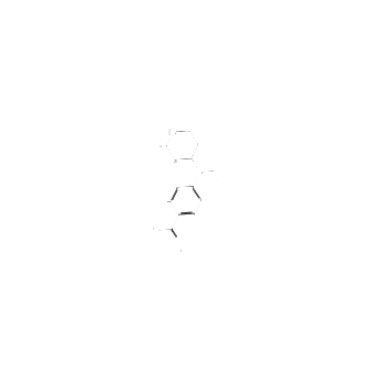 CN(c1ccc(C(N)=O)cc1)C1CCNCC1